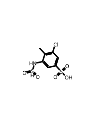 Cc1c(Cl)cc(S(=O)(=O)O)cc1N[SH](=O)=O